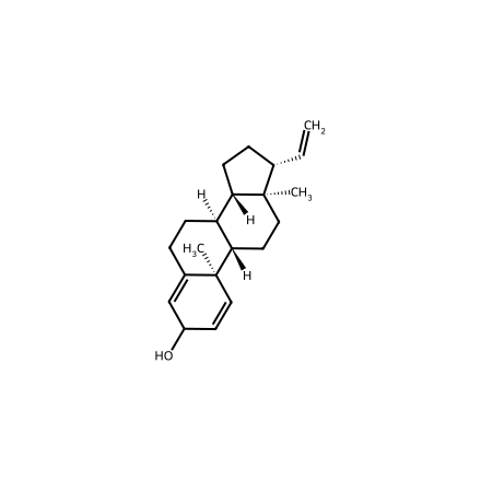 C=C[C@H]1CC[C@H]2[C@@H]3CCC4=CC(O)C=C[C@]4(C)[C@H]3CC[C@]12C